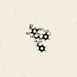 CCOc1nc(N)nc(N[C@@H](COCc2ccccc2)C(=O)Nc2cccc(C(F)(F)F)c2)c1C#N